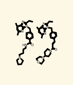 CCc1nc2c(C)cc(C)nc2n1Cc1ccc(C(=O)NCCCCN2CCCC2)cc1.CCc1nc2c(C)cc(C)nc2n1Cc1ccc(C=CC(=O)N2CCC(N3CCOCC3)CC2)cc1